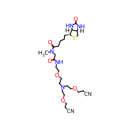 CN(CC(=O)NCCOCCN(CCOCCC#N)CCOCCC#N)C(=O)CCCC[C@@H]1SC[C@@H]2NC(=O)N[C@@H]21